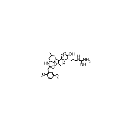 COc1ccc(OC)c(CC(=O)N[C@@H](CC(C)C)c2nc(C(=O)N[C@@H](CCCNC(=N)N)C(=O)O)c(C)o2)c1